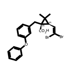 CC1(C)[C@@H](C=C(Br)Br)[C@@]1(Cc1cccc(Oc2ccccc2)c1)C(=O)O